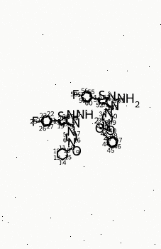 Nc1nc(N2CCN(C(=O)C3CCCCC3)CC2)c2cc(-c3ccc(F)cc3)sc2n1.Nc1nc(N2CCN(S(=O)(=O)Cc3ccccc3)CC2)c2cc(-c3ccc(F)cc3)sc2n1